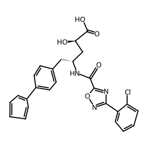 O=C(N[C@H](Cc1ccc(-c2ccccc2)cc1)C[C@@H](O)C(=O)O)c1nc(-c2ccccc2Cl)no1